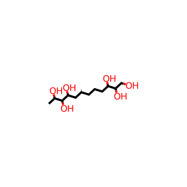 CC(O)C(O)C(O)C[CH]CCCC(O)C(O)CO